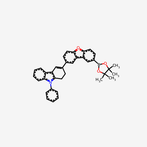 CC1(C)OB(c2ccc3oc4ccc(C5=Cc6c(n(-c7ccccc7)c7ccccc67)CC5)cc4c3c2)OC1(C)C